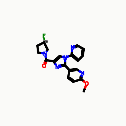 COc1ccc(-c2nc(C(=O)N3CC[C@H](F)C3)cn2-c2ccccn2)cn1